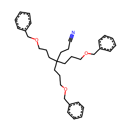 N#CCCC(CCCOCc1ccccc1)(CCCOCc1ccccc1)CCCOCc1ccccc1